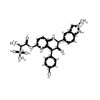 CC(C(=O)Oc1ccc2c(n1)=C(c1ccc(Cl)cc1)C(=O)C(c1ccc3nn(C)cc3c1)N=2)S(C)(=O)=O